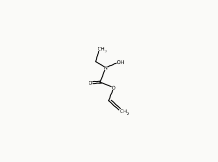 C=COC(=O)N(O)CC